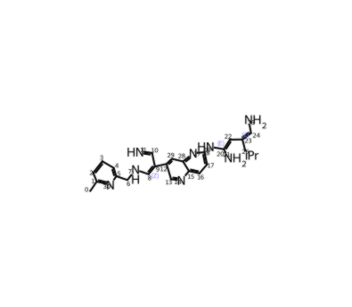 Cc1cccc(CN/C=C(\C=N)c2cnc3ccc(N/C(N)=C/C(=C\N)C(C)C)nc3c2)n1